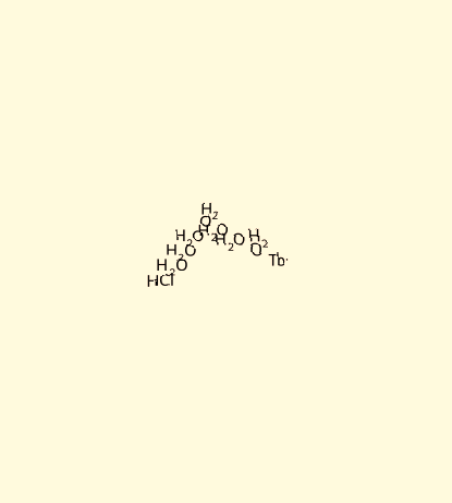 Cl.O.O.O.O.O.O.O.[Tb]